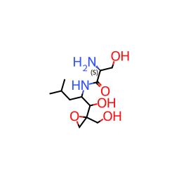 CC(C)CC(NC(=O)[C@@H](N)CO)C(O)C1(CO)CO1